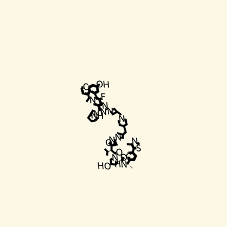 CCc1cccc2cc(O)cc(-c3ncc4c(N5CC6CCC(C5)N6)nc(N5CC(CN6CCC(CC7CN(c8cc([C@H](C(=O)N9C[C@H](O)C[C@H]9C(=O)N[C@@H](C)c9ccc(-c%10scnc%10C)cc9)C(C)C)on8)C7)CC6)C5)nc4c3F)c12